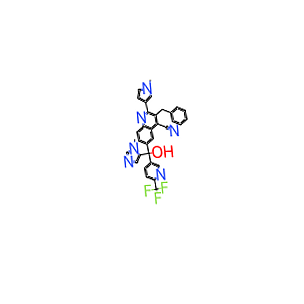 Cn1ccc(-c2nc3ccc(C(O)(c4ccc(C(F)(F)F)nc4)c4cncn4C)cc3c(C#N)c2Cc2ccccc2)c1